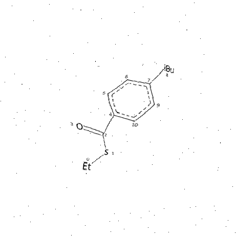 CCSC(=O)c1ccc(C(C)CC)cc1